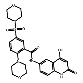 O=C(Nc1ccc2[nH]c(=O)cc(O)c2c1)c1cc(S(=O)(=O)N2CCOCC2)ccc1N1CCOCC1